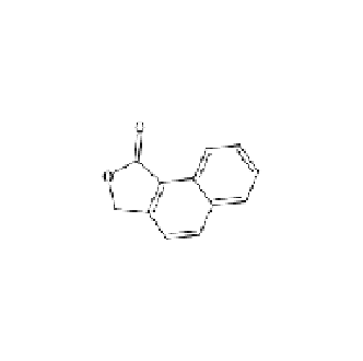 O=C1OCc2ccc3ccccc3c21